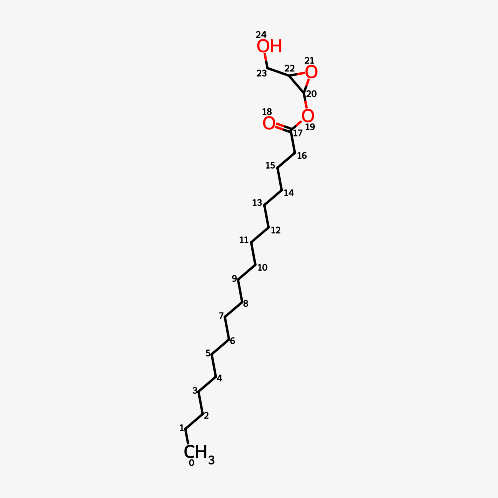 CCCCCCCCCCCCCCCCCC(=O)OC1OC1CO